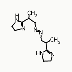 CC(C/N=N/CC(C)C1=NCCN1)C1=NCCN1